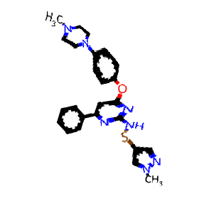 CN1CCN(c2ccc(Oc3cc(-c4ccccc4)nc(NSc4cnn(C)c4)n3)cc2)CC1